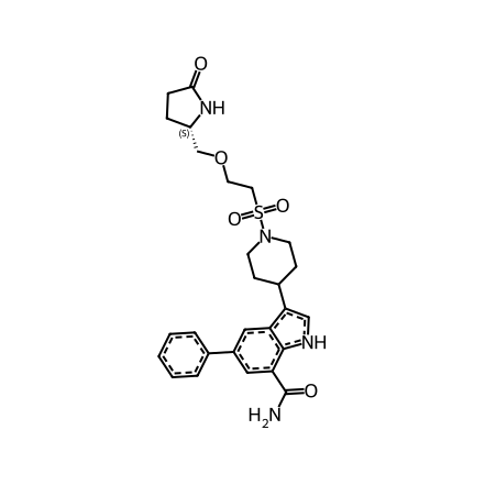 NC(=O)c1cc(-c2ccccc2)cc2c(C3CCN(S(=O)(=O)CCOC[C@@H]4CCC(=O)N4)CC3)c[nH]c12